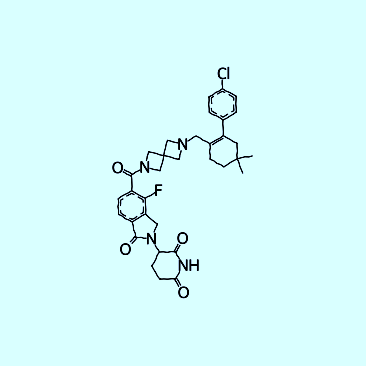 CC1(C)CCC(CN2CC3(C2)CN(C(=O)c2ccc4c(c2F)CN(C2CCC(=O)NC2=O)C4=O)C3)=C(c2ccc(Cl)cc2)C1